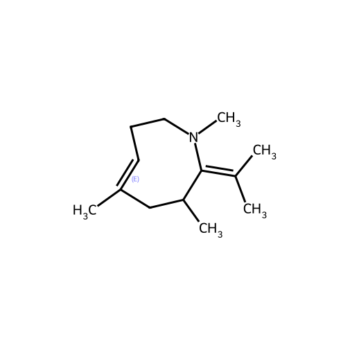 CC(C)=C1C(C)C/C(C)=C/CCN1C